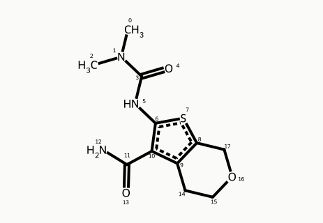 CN(C)C(=O)Nc1sc2c(c1C(N)=O)CCOC2